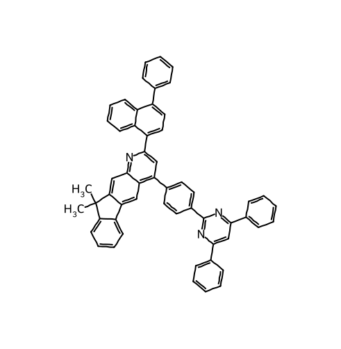 CC1(C)c2ccccc2-c2cc3c(-c4ccc(-c5nc(-c6ccccc6)cc(-c6ccccc6)n5)cc4)cc(-c4ccc(-c5ccccc5)c5ccccc45)nc3cc21